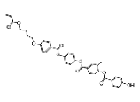 C=CC(=O)OCCCCOc1ccc(C(=O)Oc2ccc(OC(=O)c3ccc(OC(=O)c4ccc(O)cc4)c(C)c3)cc2)cc1